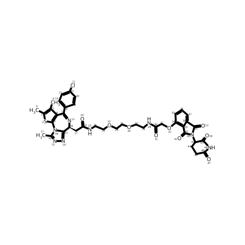 Cc1sc2c(c1C)C(c1ccc(Cl)cc1)=N[C@@H](CC(=O)NCCOCCOCCNC(=O)COc1cccc3c1C(=O)N(C1CCC(=O)NC1=O)C3=O)c1nnc(C)n1-2